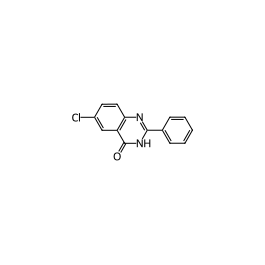 O=c1[nH]c(-c2ccccc2)nc2ccc(Cl)cc12